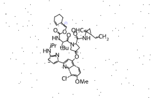 C=CC1C[C@@]1(C=O)NC(=O)C1C[C@@H](Oc2cc(-c3csc(NC(C)C)n3)nc3c(Cl)c(OC)ccc23)CN1C(=O)C(NC(=O)O/C=C1\C=CCCC1)C(C)(C)C